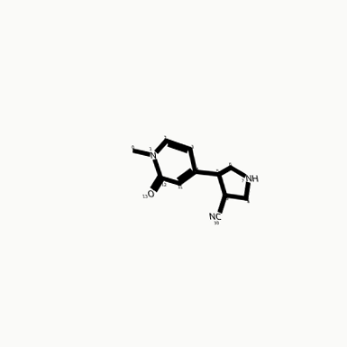 Cn1ccc(C2CNCC2C#N)cc1=O